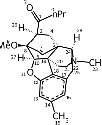 CCCC(=O)[C@H]1C[C@@]23C=C[C@]1(OC)[C@@H]1Oc4cc(C)cc5c4[C@@]12CCN(C)[C@@H]3C5